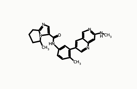 CNc1cc2ncc(-c3cc(NC(=O)c4cnc5n4C(C)CCC5)ccc3C)cc2cn1